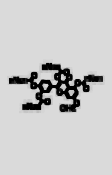 CCCCCCCCCC(=O)Oc1ccc(-c2oc3cc(OC=O)cc(OC(=O)CCCCCCCCC)c3c(=O)c2OC(=O)CCCCCCCCC)cc1OC(=O)CCCCCCCCC